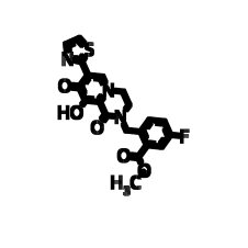 COC(=O)c1cc(F)ccc1CN1CCn2cc(-c3nccs3)c(=O)c(O)c2C1=O